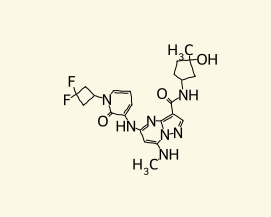 CNc1cc(Nc2cccn(C3CC(F)(F)C3)c2=O)nc2c(C(=O)NC3CCC(C)(O)C3)cnn12